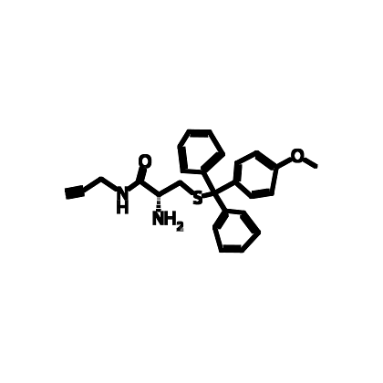 C#CCNC(=O)[C@@H](N)CSC(c1ccccc1)(c1ccccc1)c1ccc(OC)cc1